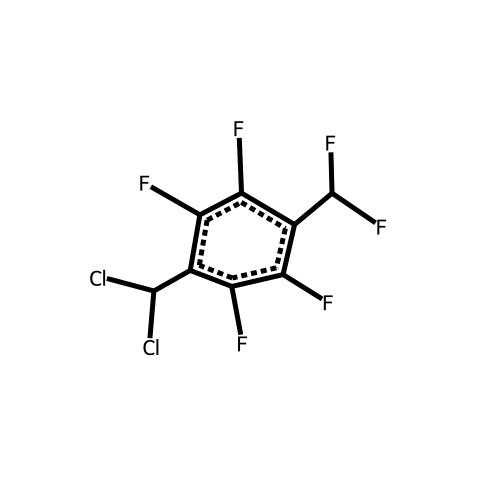 Fc1c(F)c(C(Cl)Cl)c(F)c(F)c1C(F)F